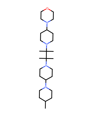 CC1CCN(C2CCN(C(C)(C)C(C)(C)N3CCC(N4CCOCC4)CC3)CC2)CC1